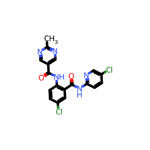 Cc1ncc(C(=O)Nc2ccc(Cl)cc2C(=O)Nc2ccc(Cl)cn2)cn1